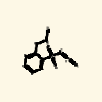 O=C=NS(=O)(=O)c1ccccc1CCCl